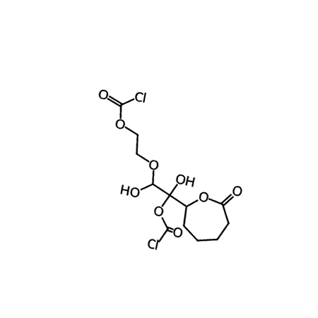 O=C(Cl)OCCOC(O)C(O)(OC(=O)Cl)C1CCCCC(=O)O1